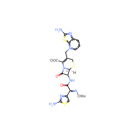 CON=C(C(=O)NC1C(=O)N2C(C(=O)[O-])=C(C[n+]3cccc4nc(N)sc43)CS[C@@H]12)c1csc(N)n1